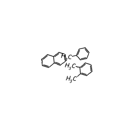 Cc1ccccc1.Cc1ccccc1C.c1ccc2ccccc2c1